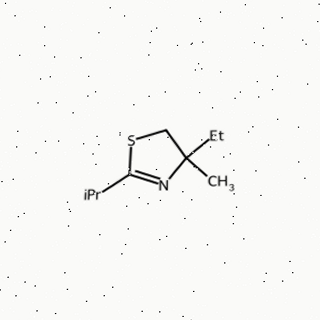 CCC1(C)CSC(C(C)C)=N1